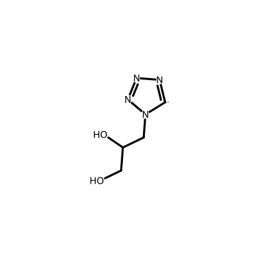 OCC(O)Cn1[c]nnn1